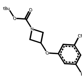 CC(C)(C)OC(=O)N1CC(Oc2cc(F)cc(C(F)(F)F)c2)C1